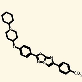 CCOC(=O)c1ccc(-c2cn3nc(-c4ccc(OC5CCN(C6CCCCC6)CC5)cc4)sc3n2)cc1